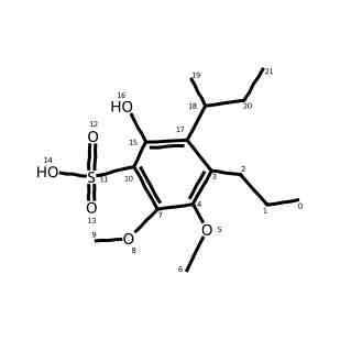 CCCc1c(OC)c(OC)c(S(=O)(=O)O)c(O)c1C(C)CC